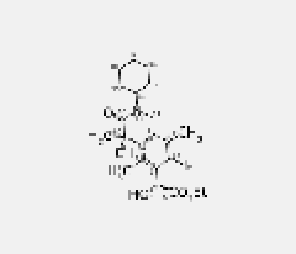 CCOC(=O)[C@@H](O)c1c(C)c2c(c(C)c1I)CN(C1CCCCC1)C(=O)C2(C)C